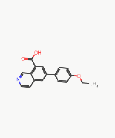 CCOc1ccc(-c2cc(C(=O)O)c3cnccc3c2)cc1